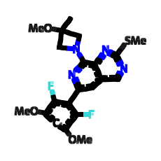 COc1cc(OC)c(F)c(-c2cc3cnc(SC)nc3c(N3CC(C)(OC)C3)n2)c1F